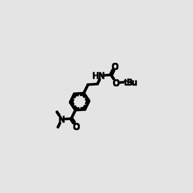 CN(C)C(=O)c1ccc(CCNC(=O)OC(C)(C)C)cc1